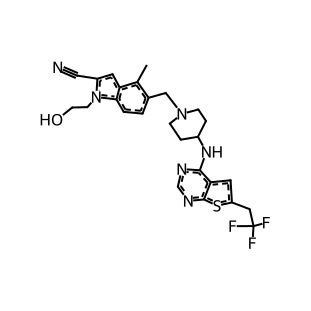 Cc1c(CN2CCC(Nc3ncnc4sc(CC(F)(F)F)cc34)CC2)ccc2c1cc(C#N)n2CCO